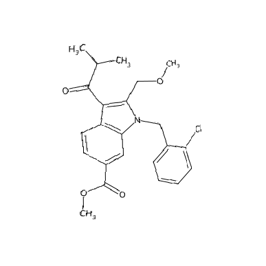 COCc1c(C(=O)C(C)C)c2ccc(C(=O)OC)cc2n1Cc1ccccc1Cl